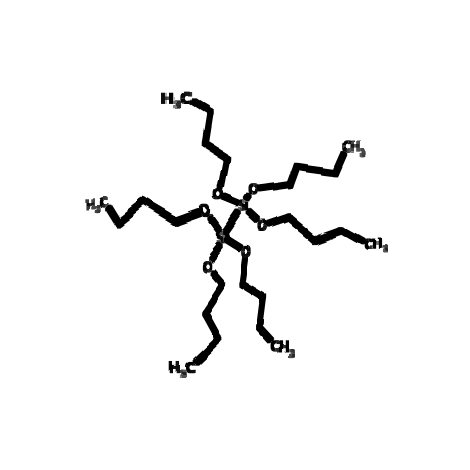 CCCCO[Si](OCCCC)(OCCCC)[Si](OCCCC)(OCCCC)OCCCC